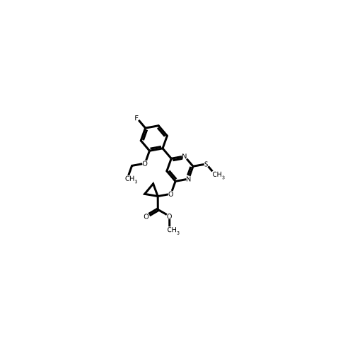 CCOc1cc(F)ccc1-c1cc(OC2(C(=O)OC)CC2)nc(SC)n1